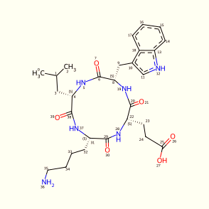 CC(C)C[C@@H]1NC(=O)[C@H](Cc2c[nH]c3ccccc23)NC(=O)[C@H](CCC(=O)O)NC(=O)[C@H](CCCCN)NC1=O